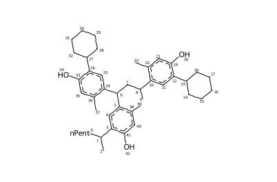 CCCCCC(C)c1cc(C(CC(C)c2cc(C3CCCCC3)c(O)cc2C)c2cc(C3CCCCC3)c(O)cc2C)c(C)cc1O